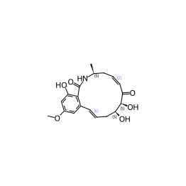 COc1cc(O)c2c(c1)/C=C/C[C@H](O)[C@H](O)C(=O)/C=C\C[C@H](C)NC2=O